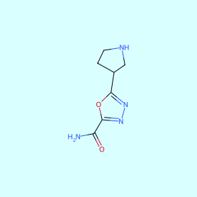 NC(=O)c1nnc(C2CCNC2)o1